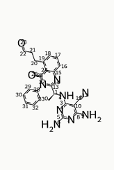 C[C@H](Nc1nc(N)nc(N)c1C#N)c1nc2cccc(CCC=O)c2c(=O)n1-c1ccccc1